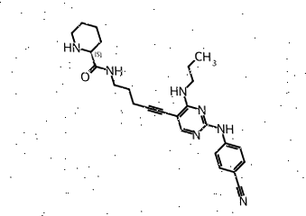 CCCNc1nc(Nc2ccc(C#N)cc2)ncc1C#CCCCNC(=O)[C@@H]1CCCCN1